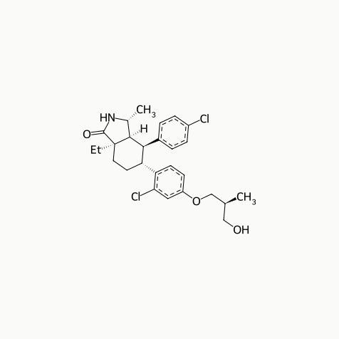 CC[C@@]12CC[C@@H](c3ccc(OC[C@@H](C)CO)cc3Cl)[C@H](c3ccc(Cl)cc3)[C@@H]1[C@@H](C)NC2=O